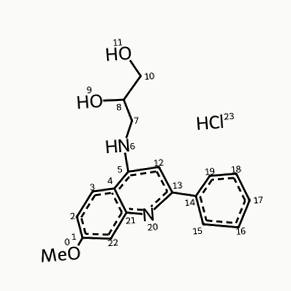 COc1ccc2c(NCC(O)CO)cc(-c3ccccc3)nc2c1.Cl